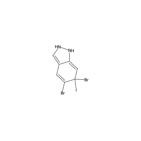 BrC1=CC2=CNNC2=CC1(Br)I